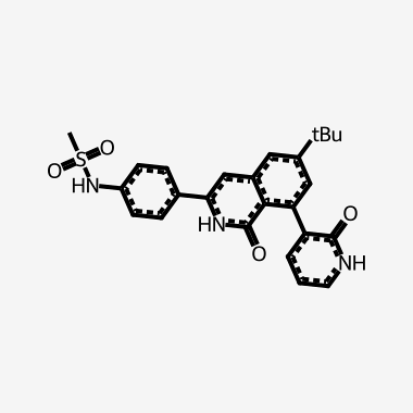 CC(C)(C)c1cc(-c2ccc[nH]c2=O)c2c(=O)[nH]c(-c3ccc(NS(C)(=O)=O)cc3)cc2c1